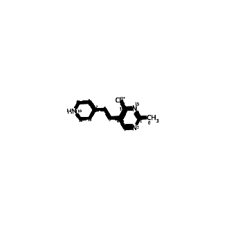 Cc1ncc(CCC2CCNCC2)c(Cl)n1